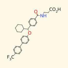 O=C(O)CCNC(=O)c1ccc(C(Oc2ccc(-c3ccc(C(F)(F)F)cc3)cc2)C2CCCCC2)cc1